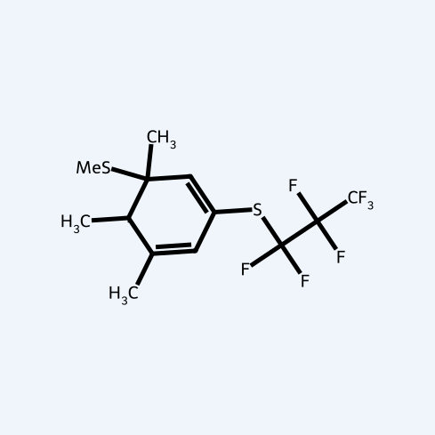 CSC1(C)C=C(SC(F)(F)C(F)(F)C(F)(F)F)C=C(C)[C]1C